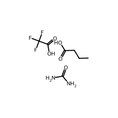 CCCC(=O)O.NC(N)=O.O=C(O)C(F)(F)F